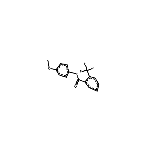 COc1ccc(OC(=O)c2ccccc2C(F)(F)F)cc1